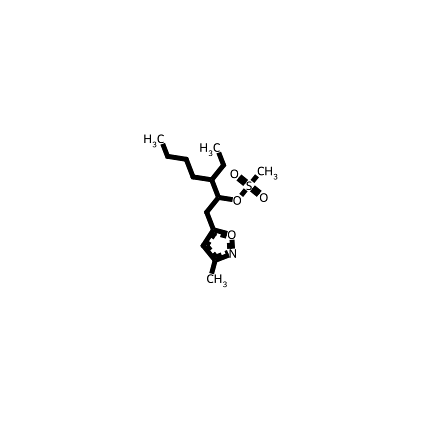 CCCCC(CC)C(Cc1cc(C)no1)OS(C)(=O)=O